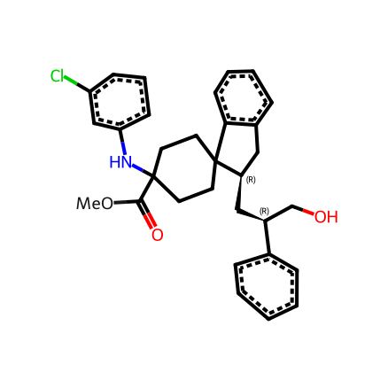 COC(=O)C1(Nc2cccc(Cl)c2)CCC2(CC1)c1ccccc1C[C@H]2C[C@@H](CO)c1ccccc1